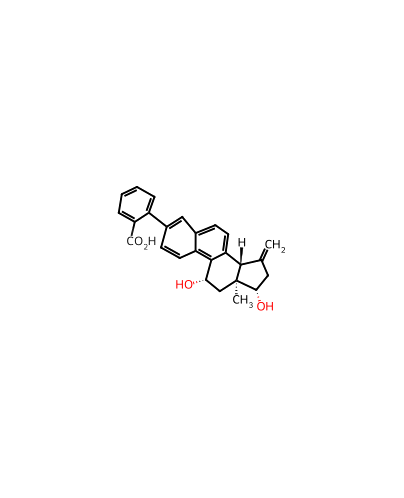 C=C1C[C@H](O)[C@@]2(C)C[C@H](O)c3c(ccc4cc(-c5ccccc5C(=O)O)ccc34)[C@H]12